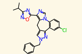 CC(C)c1noc(-c2ncn3c2Cc2cn(Cc4ccccc4)nc2-c2cc(Cl)ccc2-3)n1